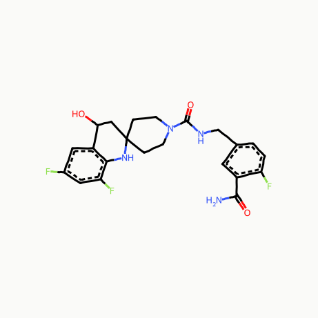 NC(=O)c1cc(CNC(=O)N2CCC3(CC2)CC(O)c2cc(F)cc(F)c2N3)ccc1F